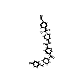 CC(C)(c1ccc(C#N)cc1)N1CCC(NC(=O)c2ccc(C(=O)N3CCN(Cc4ccc(F)cc4)CC3)cn2)CC1